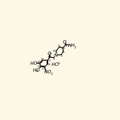 Cl.NC(=O)C1CCN(CC(=O)c2cc(O)c(O)c([N+](=O)[O-])c2)CC1